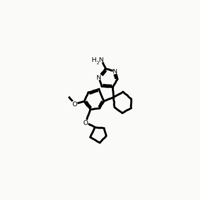 COc1ccc(C2(c3cnc(N)nc3)CCCCC2)cc1OC1CCCC1